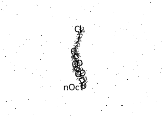 CCCCCCCCOc1ccc(C(=O)Oc2ccc(OC(=O)c3ccc(OCCCCCCCCCCl)cc3)cc2)cc1